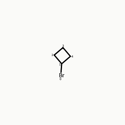 BrC1C[CH]C1